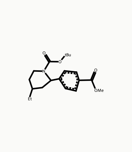 CCC1CCN(C(=O)OC(C)(C)C)C(c2ccc(C(=O)OC)cc2)C1